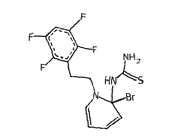 NC(=S)NC1(Br)C=CC=CN1CCc1c(F)c(F)cc(F)c1F